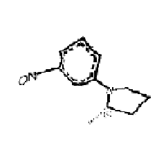 C[C@H]1CCCN1c1cccc(N=O)c1